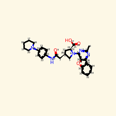 Cc1nc(N2C[C@@H](CC(=O)Nc3ccc(N4CCCCC4)cc3)C[C@H]2C(=O)O)c2oc3ccccc3c2n1